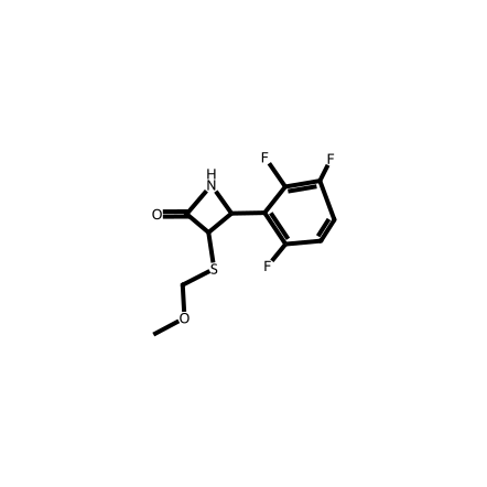 COCSC1C(=O)NC1c1c(F)ccc(F)c1F